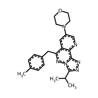 Cc1ccc(Cc2nn3c(C(C)C)nnc3c3ncc(N4CCOCC4)cc23)cc1